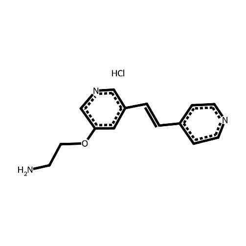 Cl.NCCOc1cncc(C=Cc2ccncc2)c1